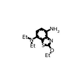 CCOc1nc2c(N)ccc(N(CC)CC)c2s1